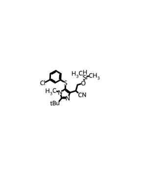 Cn1c(C(C)(C)C)nc(C(C#N)CO[SiH](C)C)c1Sc1cccc(Cl)c1